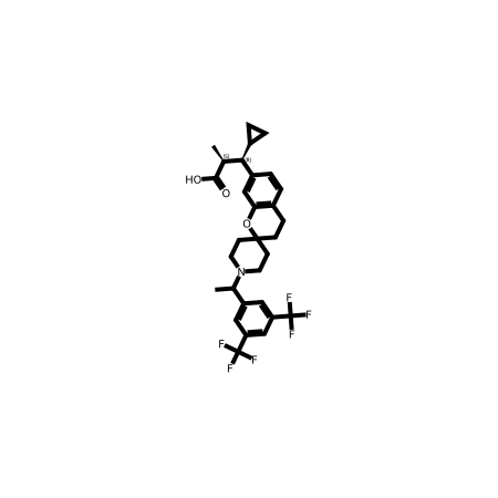 CC(c1cc(C(F)(F)F)cc(C(F)(F)F)c1)N1CCC2(CCc3ccc([C@H](C4CC4)[C@H](C)C(=O)O)cc3O2)CC1